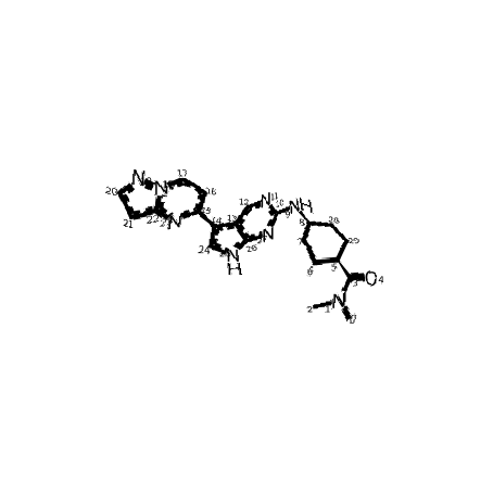 CN(C)C(=O)[C@H]1CC[C@@H](Nc2ncc3c(-c4ccn5nccc5n4)c[nH]c3n2)CC1